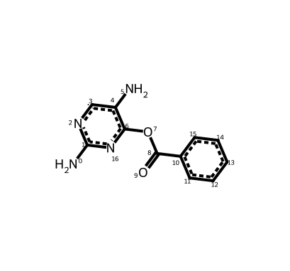 Nc1n[c]c(N)c(OC(=O)c2ccccc2)n1